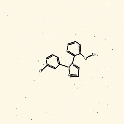 FC(F)(F)Oc1cc[c]cc1-c1ccnn1-c1cccc(Cl)c1